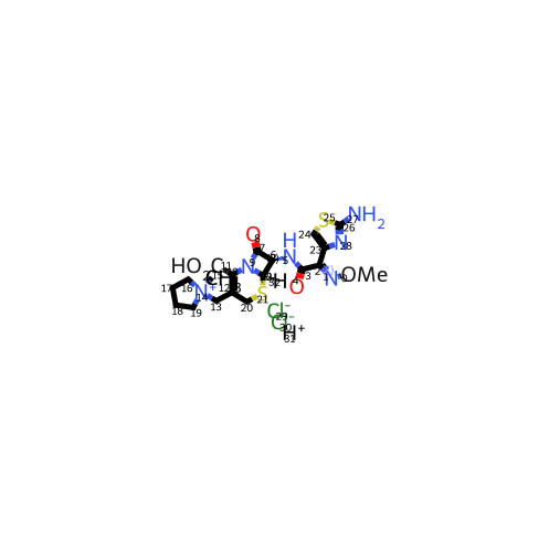 CO/N=C(/C(=O)N[C@@H]1C(=O)N2C(C(=O)O)=C(C[N+]3(C)CCCC3)CS[C@H]12)c1csc(N)n1.[Cl-].[Cl-].[H+]